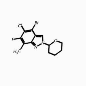 Cc1c(F)c(Cl)c(Br)c2cn(C3CCCCO3)nc12